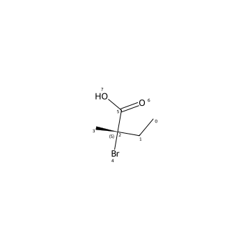 CC[C@](C)(Br)C(=O)O